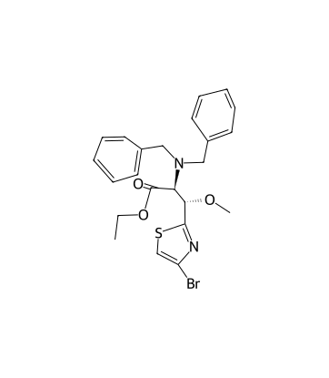 CCOC(=O)[C@H]([C@H](OC)c1nc(Br)cs1)N(Cc1ccccc1)Cc1ccccc1